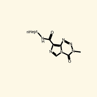 CCCCCCCNC(=O)c1ncn2c(=O)n(C)nnc12